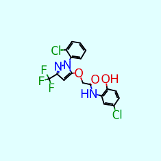 O=C(COc1cc(C(F)(F)F)nn1-c1ccccc1Cl)Nc1cc(Cl)ccc1O